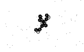 c1ccc2c(c1)oc1ccc(-c3ccc4c(c3)c3ccccc3n4-c3nc(-c4ccc5oc6ccccc6c5c4)cc(-c4cccc5c4sc4ccccc45)n3)cc12